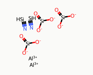 N#[SiH].N#[SiH].O=[Si]([O-])[O-].O=[Si]([O-])[O-].O=[Si]([O-])[O-].[Al+3].[Al+3]